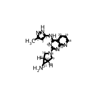 Cc1cc(Nc2nc(N3C[C@@H]4C(N)[C@@H]4C3)nc3ncccc23)[nH]n1